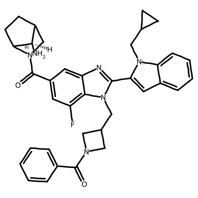 N[C@@H]1C2CCC1N(C(=O)c1cc(F)c3c(c1)nc(-c1cc4ccccc4n1CC1CC1)n3CC1CN(C(=O)c3ccccc3)C1)C2